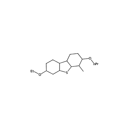 CCCOC1CCC2C3CCC(OCC)CC3SC2C1C